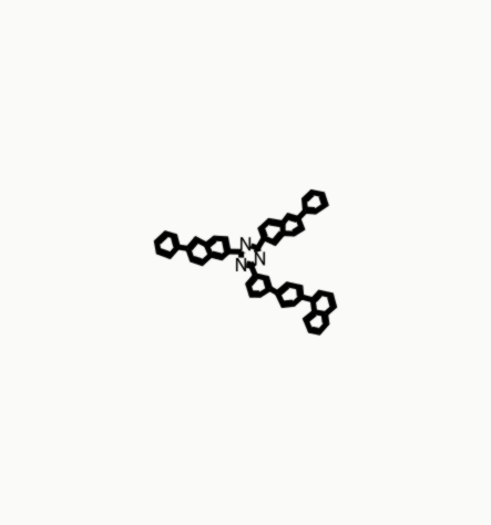 c1ccc(-c2ccc3cc(-c4nc(-c5cccc(-c6ccc(-c7cccc8ccccc78)cc6)c5)nc(-c5ccc6cc(-c7ccccc7)ccc6c5)n4)ccc3c2)cc1